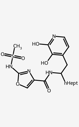 CCCCCCCC(Cc1ccnc(O)c1O)NC(=O)c1coc(NS(C)(=O)=O)n1